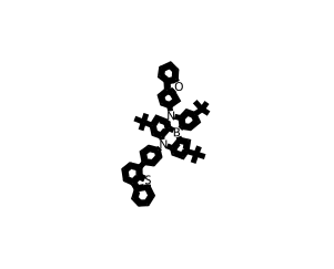 CC(C)(C)c1ccc2c(c1)B1c3ccc(C(C)(C)C)cc3N(c3ccc4c(c3)oc3ccccc34)c3cc(C(C)(C)C)cc(c31)N2c1ccc(-c2cccc3c2sc2ccccc23)cc1